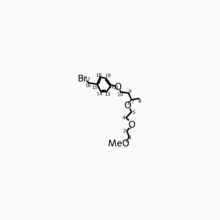 COCCOCCOC(C)CCOc1ccc(CBr)cc1